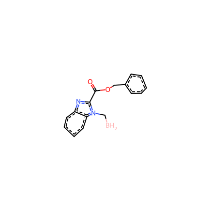 BCn1c(C(=O)OCc2ccccc2)nc2ccccc21